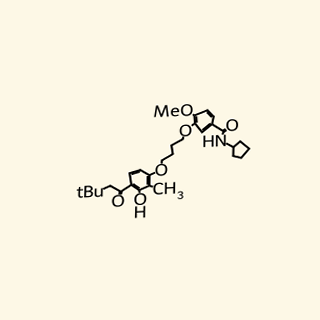 COc1ccc(C(=O)NC2CCCC2)cc1OCCCCOc1ccc(C(=O)CC(C)(C)C)c(O)c1C